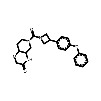 O=C1COC2CCN(C(=O)N3CC(c4ccc(Oc5ccccc5)cc4)C3)CC2N1